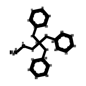 [SiH3]OCC(Cc1ccccc1)(Cc1ccccc1)Cc1ccccc1